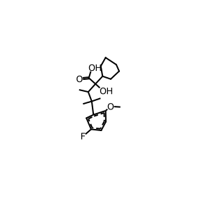 COc1ccc(F)cc1C(C)(C)C(C)C(O)(C(=O)O)C1CCCCC1